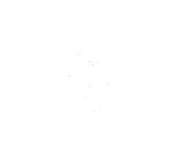 O=S(=O)(Cl)c1csc(-c2ccc(F)cc2)n1